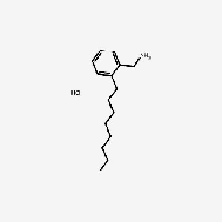 CCCCCCCCc1ccccc1CN.Cl